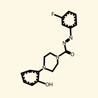 O=C(N=Nc1cccc(F)c1)N1CCN(c2ccccc2O)CC1